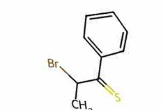 CC(Br)C(=S)c1ccccc1